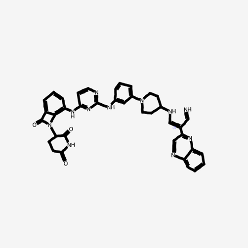 N=C/C(=C\NC1CCN(c2cccc(Nc3nccc(Nc4cccc5c4N(C4CCC(=O)NC4=O)C5=O)n3)c2)CC1)c1cnc2ccccc2n1